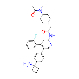 CC(=O)N(C)[C@H]1CC[C@H](CC(=O)Nc2cc(-c3ccccc3F)c(-c3ccc(C4(N)CCC4)cc3)cn2)CC1